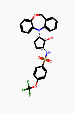 O=S(=O)(N[C@@H]1CC[C@H](N2c3ccccc3COc3ccccc32)[C@H]1O)c1ccc(OC(F)(F)F)cc1